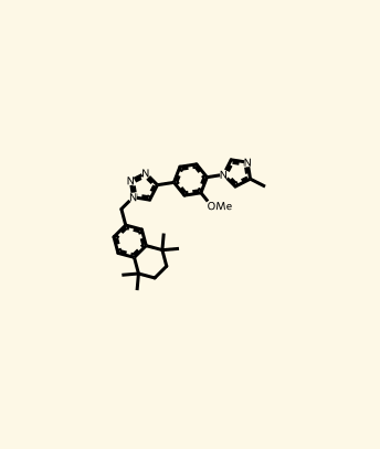 COc1cc(-c2cn(Cc3ccc4c(c3)C(C)(C)CCC4(C)C)nn2)ccc1-n1cnc(C)c1